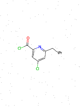 CC(C)Cc1cc(Cl)cc(C(=O)Cl)n1